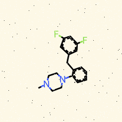 CN1CCN(c2[c]cccc2Cc2cc(F)cc(F)c2)CC1